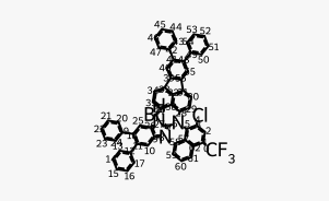 FC(F)(F)c1cc(Cl)c(N(c2nc3cc(-c4ccccc4)c(-c4ccccc4)cc3[nH]2)c2ccc3c4c(ccc(Br)c24)-c2cc(-c4ccccc4)c(-c4ccccc4)cc2-3)c2ccccc12